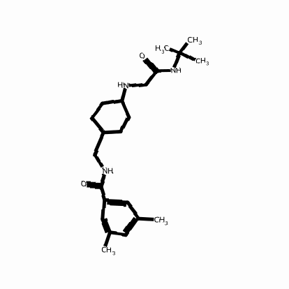 Cc1cc(C)cc(C(=O)NCC2CCC(NCC(=O)NC(C)(C)C)CC2)c1